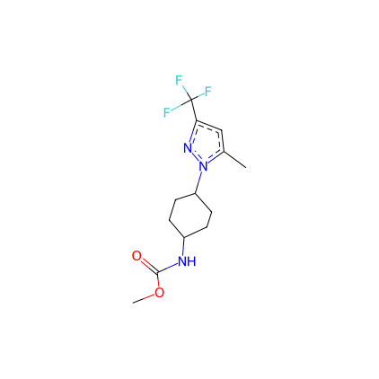 COC(=O)NC1CCC(n2nc(C(F)(F)F)cc2C)CC1